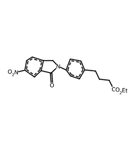 CCOC(=O)CCCc1ccc(N2Cc3ccc([N+](=O)[O-])cc3C2=O)cc1